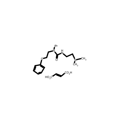 CC(C)N(CCOc1ccccc1)C(=O)NCCN(C)C.O=C(O)C=CC(=O)O